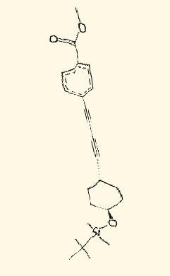 COC(=O)c1ccc(C#CC#C[C@H]2CC[C@H](O[Si](C)(C)C(C)(C)C)CC2)cc1